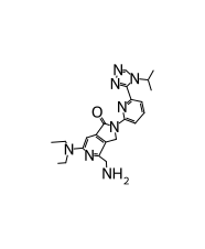 CCN(CC)c1cc2c(c(CN)n1)CN(c1cccc(-c3nncn3C(C)C)n1)C2=O